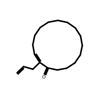 C=CC/C1=C/CCCCCCCCCCCCCC1=O